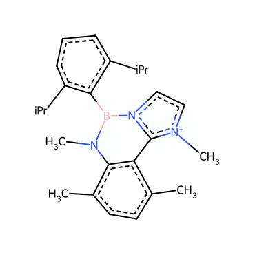 Cc1ccc(C)c2c1-c1n(cc[n+]1C)B(c1c(C(C)C)cccc1C(C)C)N2C